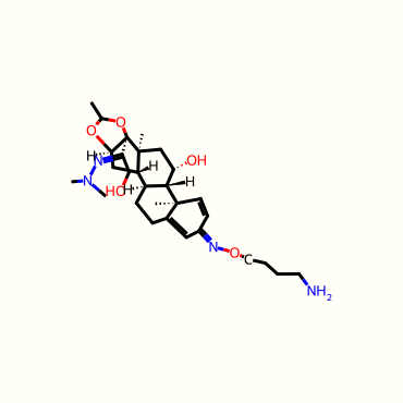 CC1O[C@@H]2C[C@H]3[C@@H]4CCC5=C/C(=N/OCCCCN)C=C[C@]5(C)[C@H]4[C@@H](O)C[C@]3(C)[C@]2(/C(CO)=N/N(C)C)O1